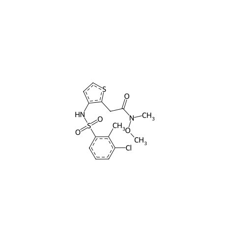 CON(C)C(=O)Cc1sccc1NS(=O)(=O)c1cccc(Cl)c1C